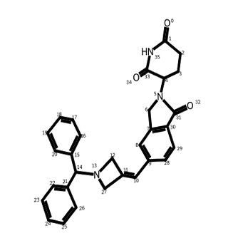 O=C1CCC(N2Cc3cc(C=C4CN(C(c5ccccc5)c5ccccc5)C4)ccc3C2=O)C(=O)N1